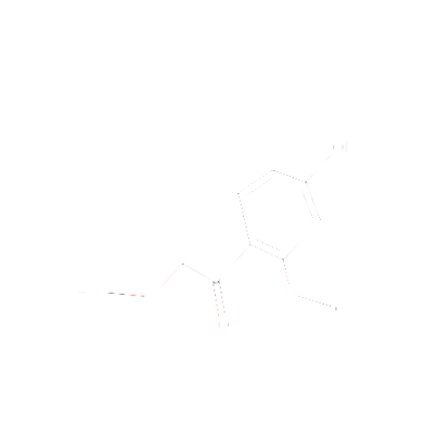 COCC(=O)c1ccc(O)cc1OC